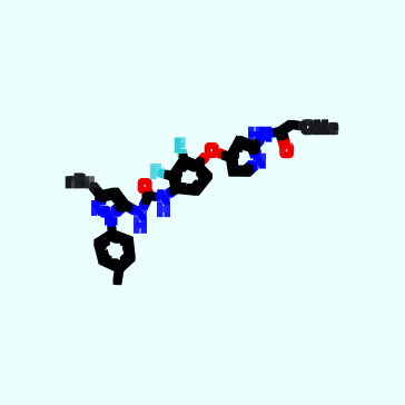 CCCCc1cc(NC(=O)Nc2ccc(Oc3ccnc(NC(=O)COC)c3)c(F)c2F)n(-c2ccc(C)cc2)n1